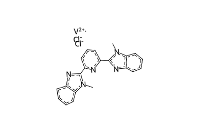 Cn1c(-c2cccc(-c3nc4ccccc4n3C)n2)nc2ccccc21.[Cl-].[Cl-].[V+2]